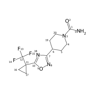 NC(=O)N1CCC(c2noc(C3(C(F)(F)F)CC3)n2)CC1